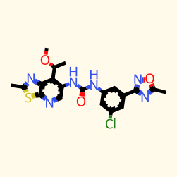 COC(C)c1c(NC(=O)Nc2cc(Cl)cc(-c3noc(C)n3)c2)cnc2sc(C)nc12